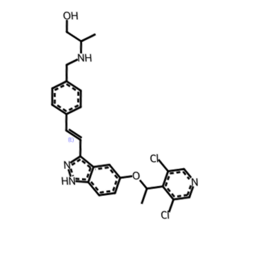 CC(CO)NCc1ccc(/C=C/c2n[nH]c3ccc(OC(C)c4c(Cl)cncc4Cl)cc23)cc1